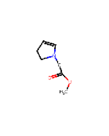 COC(=O)CN1C=CCC1